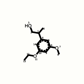 [CH2]C(CO)c1cc(OC)cc(OCC)c1